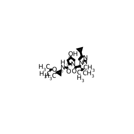 CC(C)O[C@@]1(C)C[C@H]1NC(=O)[C@@H]1C[C@@H](O)CN1C(=O)[C@@H](n1cc(C2CC2)nn1)C(C)(C)C